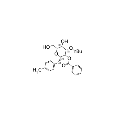 CCCCO[C@@H]1C(OC(=O)c2ccccc2)[C@@H](Sc2ccc(C)cc2)OC(CO)[C@H]1O